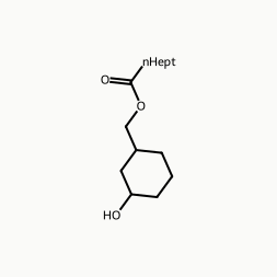 CCCCCCCC(=O)OCC1CCCC(O)C1